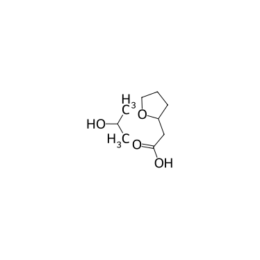 CC(C)O.O=C(O)CC1CCCO1